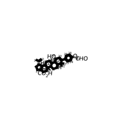 C=C(C)[C@@H]1CC[C@]2(C(=O)O)CC[C@]3(C)[C@H](CC[C@@H]4[C@@]5(C)[C@H](O)C=C(c6ccc(OC=O)cc6)C(C)(C)[C@@H]5CC[C@]43C)[C@@H]12